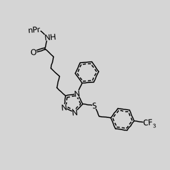 CCCNC(=O)CCCCc1nnc(SCc2ccc(C(F)(F)F)cc2)n1-c1ccccc1